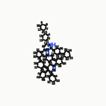 C1=C(c2ccc(-c3ccccc3)cc2)NC(c2ccc(-c3ccccc3)cc2)NC1c1cccc(-c2cccc(-c3c(-c4ccccc4)c(-c4ccccc4)nc(-c4ccccc4)c3-c3ccccc3)c2)c1